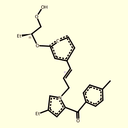 CCc1cc(C(=O)c2ccc(C)cc2)n(C/C=C/c2cccc(O[C@@H](CC)COO)c2)c1